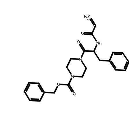 C=CC(=O)NC(Cc1ccccc1)C(=O)N1CCN(C(=O)OCc2ccccc2)CC1